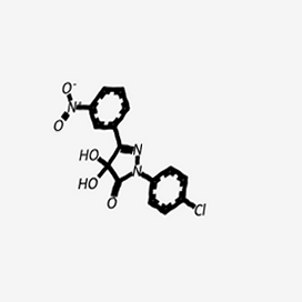 O=C1N(c2ccc(Cl)cc2)N=C(c2cccc([N+](=O)[O-])c2)C1(O)O